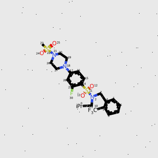 CC(C)CN(Cc1ccccc1C(F)(F)F)S(=O)(=O)c1ccc(N2CCN(S(C)(=O)=O)CC2)cc1F